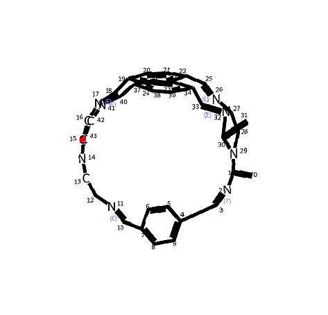 C=C1/N=C\c2ccc(cc2)/C=N/CCN2CC/N=C/c3ccc(cc3)/C=N/CCN1C(=C)/N=C/c1ccc(cc1)/C=N/CC2